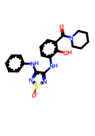 O=C(c1cccc(Nc2n[s+]([O-])nc2Nc2ccccc2)c1O)N1CCCCC1